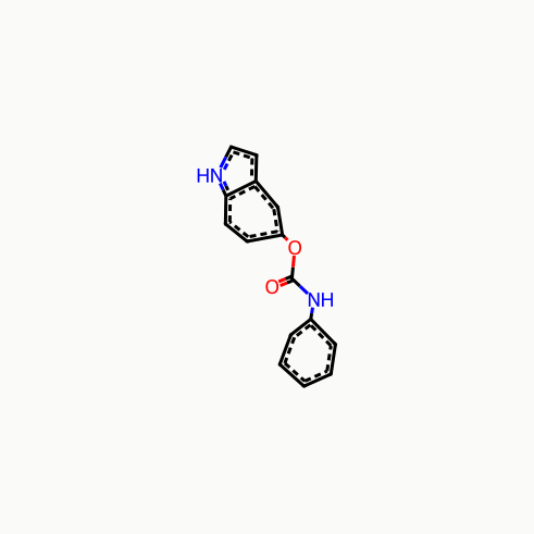 O=C(Nc1ccccc1)Oc1ccc2[nH]ccc2c1